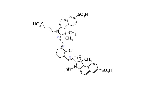 CCC[N+]1=C(/C=C/C2=C(Cl)C(=C/C=C3/N(CCCS(=O)(=O)O)c4ccc5cc(S(=O)(=O)O)ccc5c4C3(C)C)/CCC2)C(C)(C)c2c1ccc1cc(S(=O)(=O)O)ccc21